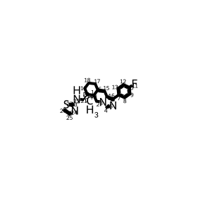 C[C@]12Cn3cnc(-c4ccc(F)cc4)c3C=C1CCC[C@@H]2CNc1nccs1